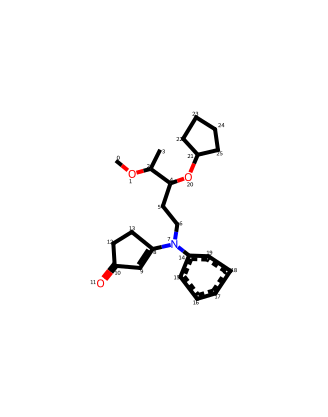 COC(C)C(CCN(C1=CC(=O)CC1)c1ccccc1)OC1CCCC1